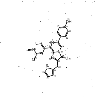 C=N/C(Cl)=C\C(=C/C)c1[nH]c(-c2ccc(O)cc2)cn2c(=O)c(Cc3ccco3)nc1-2